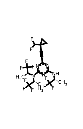 C[C@H](N(c1nc(C#CC2(C(F)F)CC2)nc(N[C@H](C)C(F)(F)F)n1)[C@H](C)C(F)(F)F)C(F)(F)F